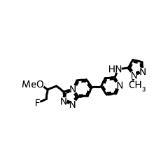 COC(CF)Cc1nnc2cc(-c3ccnc(Nc4ccnn4C)c3)ccn12